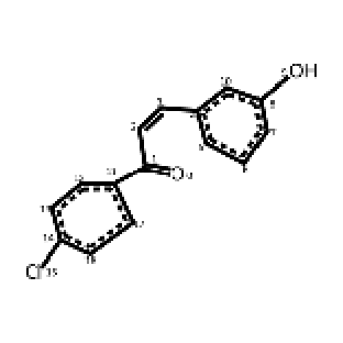 O=C(/C=C\c1cccc(O)c1)c1ccc(Cl)cc1